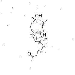 CC(=O)CC[C@@H](C)[C@H]1CC[C@H]2[C@@H]3C/C=C(\C)C[C@@](C)(O)CCC[C@H]3CC[C@]12C